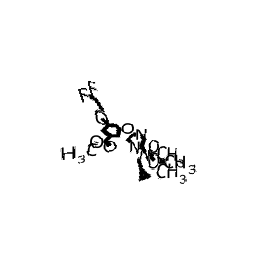 COC(=O)c1cc(OCC(F)F)cc(Oc2cnc(N(CC3CC3)C(=O)OC(C)(C)C)cn2)c1